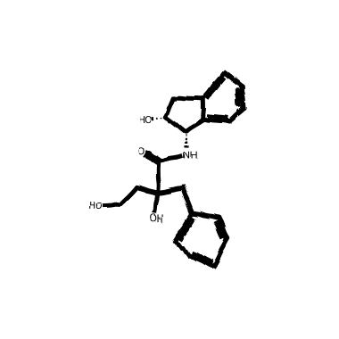 O=C(N[C@H]1c2ccccc2C[C@H]1O)C(O)(CCO)Cc1ccccc1